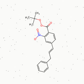 CC(C)(C)OOC(=O)c1ccc(C=CCc2ccccc2)cc1[N+](=O)[O-]